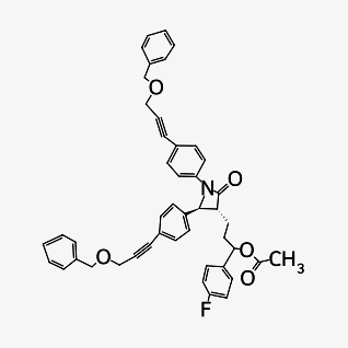 CC(=O)OC(CC[C@H]1C(=O)N(c2ccc(C#CCOCc3ccccc3)cc2)[C@@H]1c1ccc(C#CCOCc2ccccc2)cc1)c1ccc(F)cc1